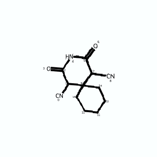 [C-]#[N+]C1C(=O)NC(=O)C(C#N)C12CCCCC2